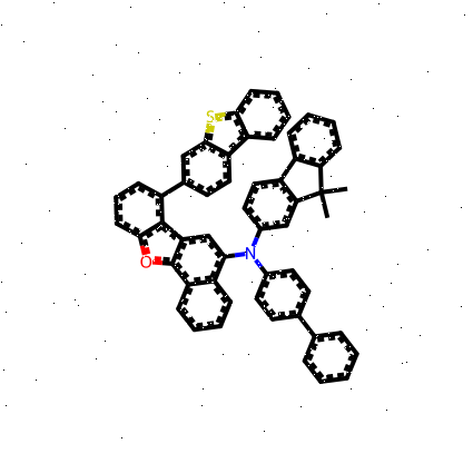 CC1(C)c2ccccc2-c2ccc(N(c3ccc(-c4ccccc4)cc3)c3cc4c(oc5cccc(-c6ccc7c(c6)sc6ccccc67)c54)c4ccccc34)cc21